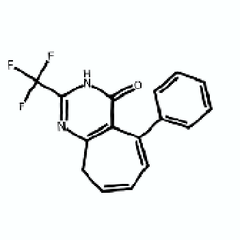 O=c1[nH]c(C(F)(F)F)nc2c1C(c1ccccc1)=CC=CC2